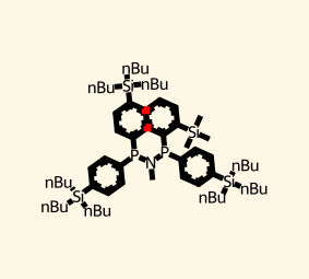 CCCC[Si](CCCC)(CCCC)c1ccc(P(c2ccc([Si](CCCC)(CCCC)CCCC)cc2)N(C)P(c2ccc([Si](CCCC)(CCCC)CCCC)cc2)c2ccccc2[Si](C)(C)C)cc1